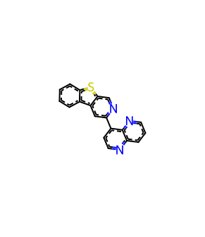 c1cnc2c(-c3cc4c(cn3)sc3ccccc34)ccnc2c1